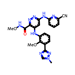 CONC(=O)c1nnc(Nc2cccc(C#N)n2)cc1Nc1cccc(-c2ncn(C)n2)c1OC